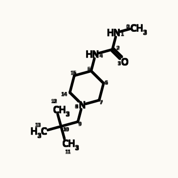 CNC(=O)NC1CCN(CC(C)(C)C)CC1